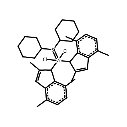 CC1=Cc2c(C)ccc(C)c2[CH]1[Zr]([Cl])([Cl])([CH]1C(C)=Cc2c(C)ccc(C)c21)=[Si](C1CCCCC1)C1CCCCC1